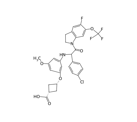 COc1cc(NC(C(=O)N2CCc3cc(F)c(OC(F)(F)F)cc32)c2ccc(Cl)cc2)cc(O[C@H]2C[C@@H](C(=O)O)C2)c1